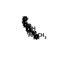 Cc1ccnc(NC(=O)NC[C@@H]2CCS[C@H](c3ccc(Oc4ccccc4)cc3)C(=O)N2)c1